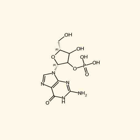 Nc1nc2c(ncn2[C@@H]2O[C@H](CO)C(O)C2OP(=O)(O)O)c(=O)[nH]1